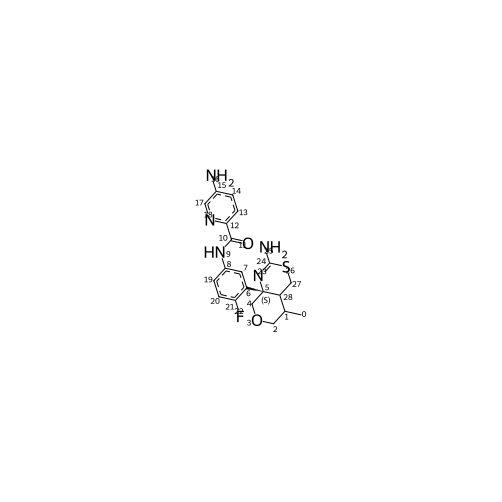 CC1COC[C@]2(c3cc(NC(=O)c4ccc(N)cn4)ccc3F)N=C(N)SCC12